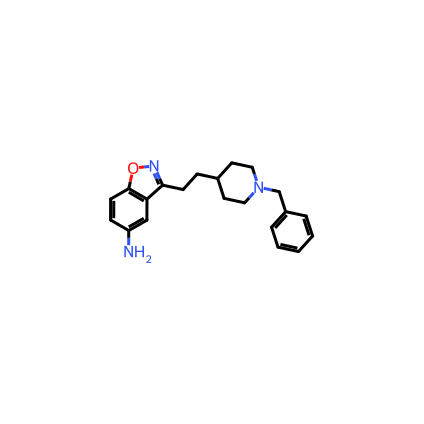 Nc1ccc2onc(CCC3CCN(Cc4ccccc4)CC3)c2c1